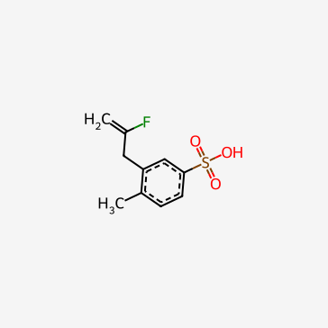 C=C(F)Cc1cc(S(=O)(=O)O)ccc1C